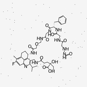 CCC(O)(CCC(=O)NCc1c(C(C)C)nc2cc(F)c(C)c3c2c1[C@@H](NC(=O)COCNC(=O)CNC(=O)[C@H](Cc1ccccc1)NC(=O)CNC(=O)CNNC(C)=O)CC3)C(=O)O